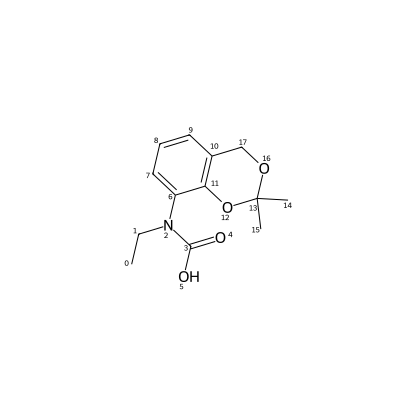 CCN(C(=O)O)c1cccc2c1OC(C)(C)OC2